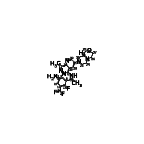 Cc1nnc(N[C@H](C)c2cc(N)cc(C(F)F)c2F)c2cc(N3CCN4CCOC[C@@H]4C3)cnc12